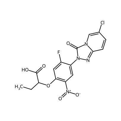 CCC(Oc1cc(F)c(-n2nc3ccc(Cl)cn3c2=O)cc1[N+](=O)[O-])C(=O)O